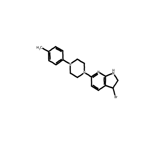 Cc1ccc(N2CCN(c3ccc4c(n3)NCC4Br)CC2)cc1